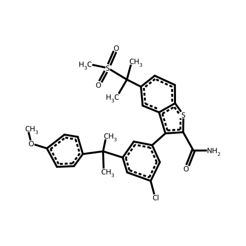 COc1ccc(C(C)(C)c2cc(Cl)cc(-c3c(C(N)=O)sc4ccc(C(C)(C)S(C)(=O)=O)cc34)c2)cc1